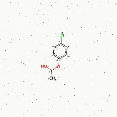 CC(O)Oc1ccc(Cl)cc1